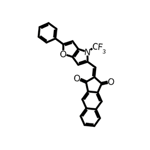 O=C1C(=Cc2cc3oc(-c4ccccc4)cc3n2C(F)(F)F)C(=O)c2cc3ccccc3cc21